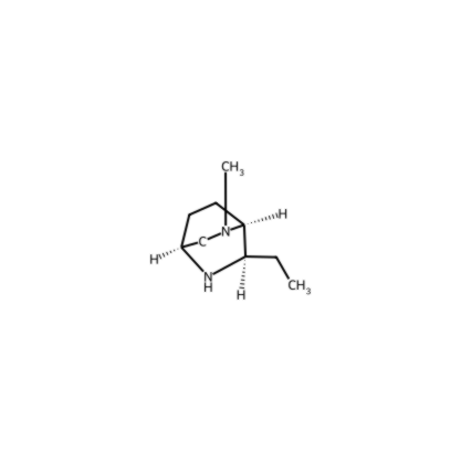 CC[C@H]1N[C@H]2CC[C@@H]1N(C)C2